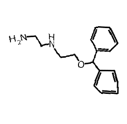 NCCNCCOC(c1ccccc1)c1ccccc1